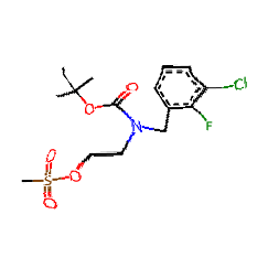 CC(C)(C)OC(=O)N(CCOS(C)(=O)=O)Cc1cccc(Cl)c1F